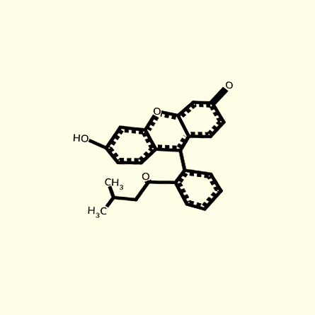 CC(C)CC(=O)c1ccccc1-c1c2ccc(=O)cc-2oc2cc(O)ccc12